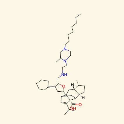 CCCCCCCCN1CCN(CCNC[C@@H]2O[C@@H](C34C[C@@H]5[C@H](C)CC[C@H]5C5CC3C=C(C(C)C)[C@]54C(=O)O)C[C@H]2C2CCCCC2)C(C)C1